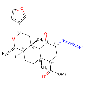 C=C1O[C@H](c2ccoc2)C[C@]2(C)C3C(=O)[C@H](N=[N+]=[N-])C[C@@H](C(=O)OC)[C@]3(C)CC[C@@H]12